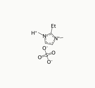 CCc1n(C)cc[n+]1C.O=S(=O)([O-])[O-].[H+]